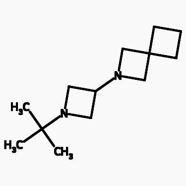 CC(C)(C)N1CC(N2CC3(CCC3)C2)C1